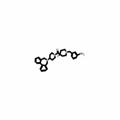 Nc1cccc(CN2CCC(F)(C(=O)N3CCC(N4Cc5ccccc5-c5ccccc5C4)CC3)CC2)c1